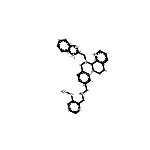 COc1cccnc1CNCc1ccc(CN(Cc2nc3ccccc3[nH]2)C2CCCc3cccnc32)cc1